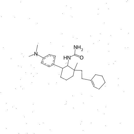 CN(C)c1ccc(C2CCCC(C)(CCC3=CCCCC3)C2NC(N)=O)cc1